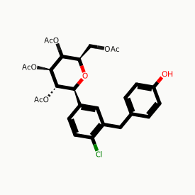 CC(=O)OC[C@H]1O[C@@H](c2ccc(Cl)c(Cc3ccc(O)cc3)c2)[C@H](OC(C)=O)[C@@H](OC(C)=O)C1OC(C)=O